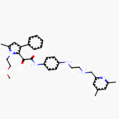 COCCn1c(C)cc(-c2ccccc2)c1C(=O)C(=O)Nc1ccc(NCCNCc2cc(C)cc(C)n2)cc1